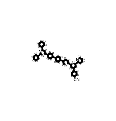 N#Cc1ccc(-c2cc(-c3ccccn3)nc(-c3ccc(-c4ccc(-c5ccc(-c6cc(-c7ccccc7)nc(-c7ccccc7)n6)cc5)cc4)cn3)c2)cc1